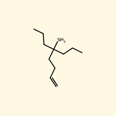 C=CCCC([SiH3])(CCC)CCC